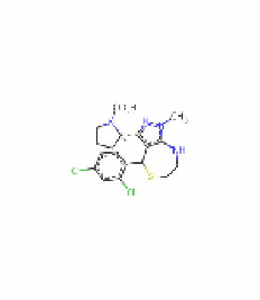 Cn1nc([C@@H]2CCCN2C(=O)O)c2c1NCCSC2c1ccc(Cl)cc1Cl